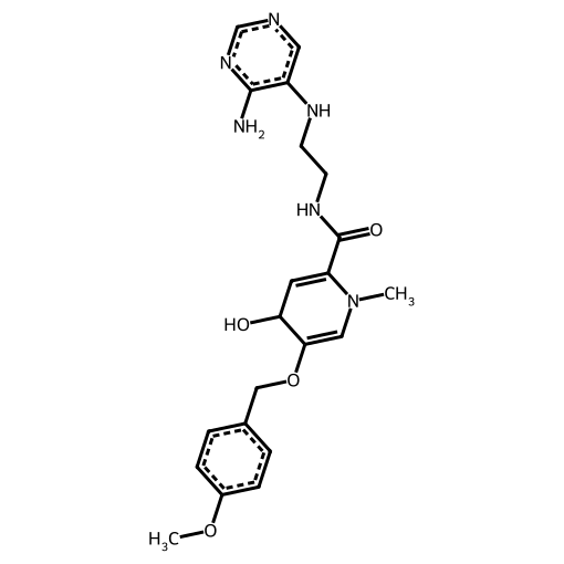 COc1ccc(COC2=CN(C)C(C(=O)NCCNc3cncnc3N)=CC2O)cc1